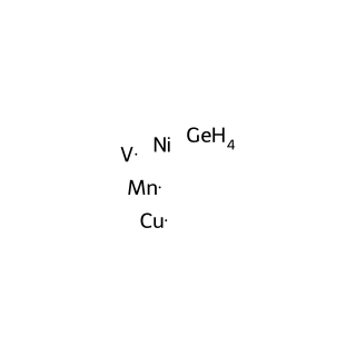 [Cu].[GeH4].[Mn].[Ni].[V]